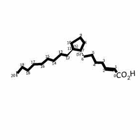 O=C(O)C=CCCCC[C@H]1CCC[C@@H]1CCCCCCCCI